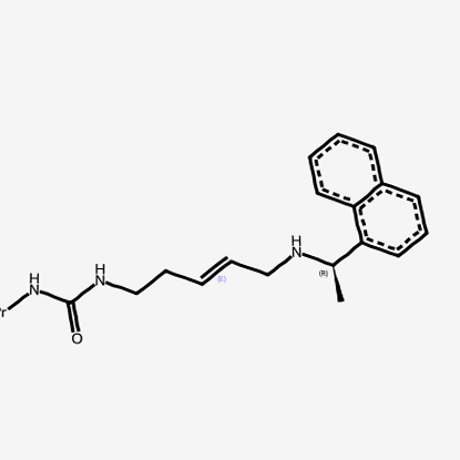 CCCNC(=O)NCC/C=C/CN[C@H](C)c1cccc2ccccc12